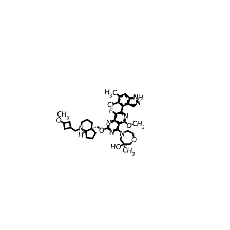 COc1nc(-c2c(Cl)c(C)cc3[nH]ncc23)c(F)c2nc(OC[C@]34CCC[C@H]3N(CC3CC(OC)C3)CCC4)nc(N3CCOC[C@@](C)(O)C3)c12